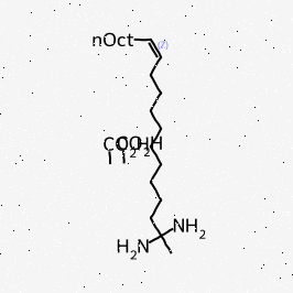 CC(=O)O.CC(=O)O.CCCCCCCC/C=C\CCCCCCCCCC(C)(N)N